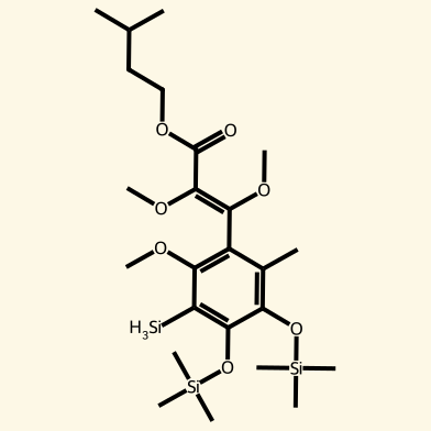 COC(C(=O)OCCC(C)C)=C(OC)c1c(C)c(O[Si](C)(C)C)c(O[Si](C)(C)C)c([SiH3])c1OC